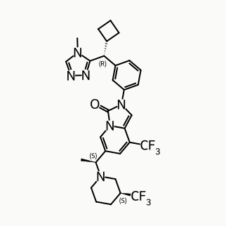 C[C@@H](c1cc(C(F)(F)F)c2cn(-c3cccc([C@H](c4nncn4C)C4CCC4)c3)c(=O)n2c1)N1CCC[C@H](C(F)(F)F)C1